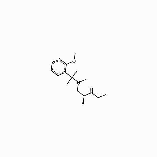 CCN[C@@H](C)CN(C)C(C)(C)c1cccnc1OC